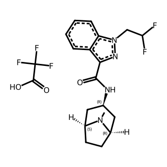 CN1[C@@H]2CC[C@H]1C[C@@H](NC(=O)c1nn(CC(F)F)c3ccccc13)C2.O=C(O)C(F)(F)F